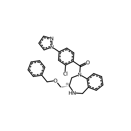 O=C(c1ccc(-n2cccn2)cc1Cl)N1C[C@@H](COCc2ccccc2)NCc2ccccc21